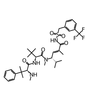 CN[C@H](C(=O)N[C@H](C(=O)N(C)[C@H](C=C(C)C(=O)NS(=O)(=O)Cc1cccc(C(F)(F)F)c1)C(C)C)C(C)(C)C)C(C)(C)c1ccccc1